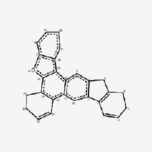 C1=CC2=C(CC1)Cc1cc3c(cc12)c1c(c2oc4ccccc4c23)CCC=C1